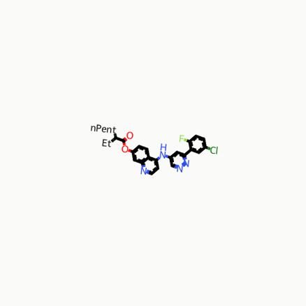 CCCCCC(CC)C(=O)Oc1ccc2c(Nc3cnnc(-c4cc(Cl)ccc4F)c3)ccnc2c1